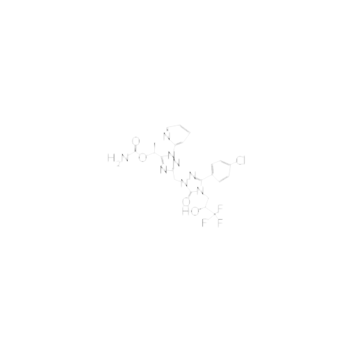 C[C@H](OC(N)=O)c1nc(Cn2nc(-c3ccc(Cl)cc3)n(C[C@H](O)C(F)(F)F)c2=O)nn1-c1ccccn1